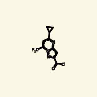 O=C(Cl)c1cc2nc(C3CC3)cc(C(F)(F)F)n2n1